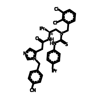 CC(C)c1ccc(NC(=S)N(Cc2cccc(Cl)c2Cl)C[C@@H](NC(=O)Cc2cncn2Cc2ccc(C#N)cc2)C(C)C)cc1